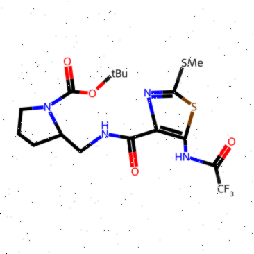 CSc1nc(C(=O)NCC2CCCN2C(=O)OC(C)(C)C)c(NC(=O)C(F)(F)F)s1